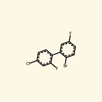 Fc1c[c]c(Br)c(-c2ccc(Cl)cc2F)c1